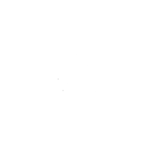 C=CC1=C(/C=C\C)C(c2ccccc2)(c2ccccc2)c2ccccc21